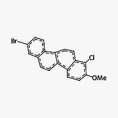 COc1ccc2c(ccc3c4ccc(Br)cc4ccc23)c1Cl